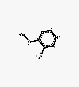 CCCCOc1ccncc1N